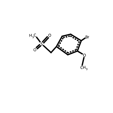 COc1cc(CS(C)(=O)=O)ccc1Br